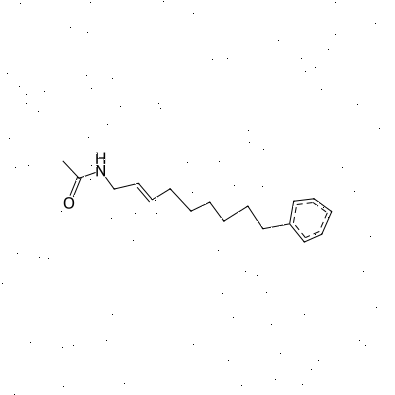 CC(=O)NC/C=C/CCCCCCc1ccccc1